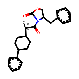 C[C@@H](C(=O)N1C(=O)OCC1Cc1ccccc1)C1CCC(c2ccccc2)CC1